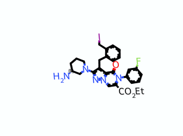 CCOC(=O)c1cn2nc(N3CCC[C@@H](N)C3)c(Cc3ccccc3CI)c2c(=O)n1-c1cccc(F)c1